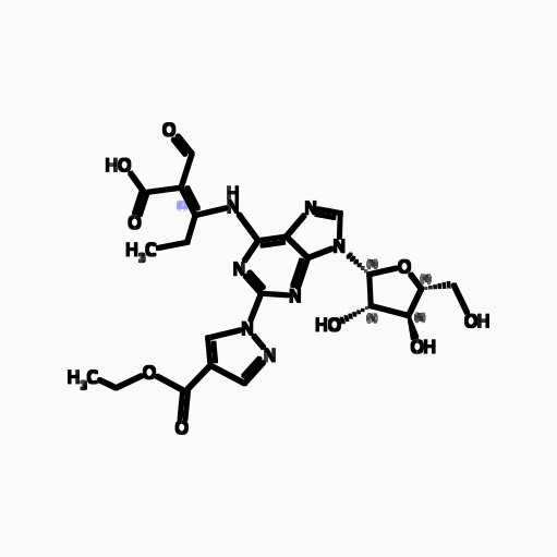 CCOC(=O)c1cnn(-c2nc(N/C(CC)=C(\C=O)C(=O)O)c3ncn([C@@H]4O[C@H](CO)[C@@H](O)[C@@H]4O)c3n2)c1